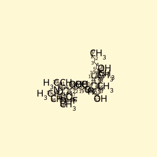 CCCCCC[C@](C)(O)[C@H]1CCC2C3C[C@H](OC(=O)C[C@H](O)C[C@H](O)/C=C/c4c(C(C)C)nc(C(C)C)c(COC)c4-c4ccc(F)cc4)[C@H]4C[C@@H](O)CC[C@]4(C)C3CC[C@@]21C